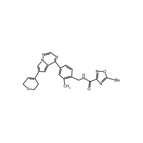 Cc1cc(-c2ncnn3cc(C4=CCSCC4)cc23)ccc1CNC(=O)c1noc(C(C)(C)C)n1